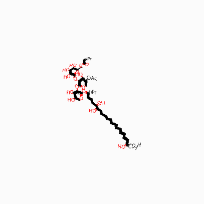 CCCC(CCCC(O)C(O)CCCCCCCCCCCCCC(O)C(=O)O)O[C@@H]1OC[C@@H](O)[C@H](O)[C@H]1O[C@@H]1OC[C@@H](OC(C)=O)[C@H](O)[C@H]1O[C@@H]1O[C@H](COC(=O)CC(C)C)[C@@H](O)[C@H](O)[C@H]1O